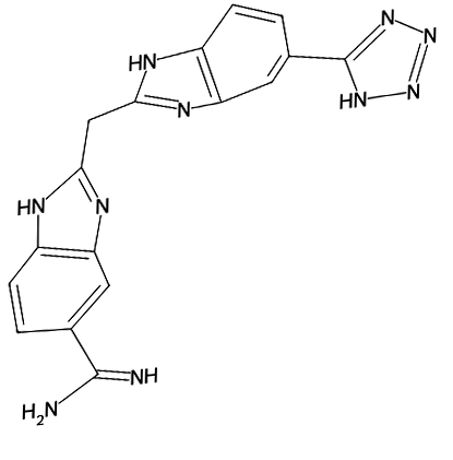 N=C(N)c1ccc2[nH]c(Cc3nc4cc(-c5nnn[nH]5)ccc4[nH]3)nc2c1